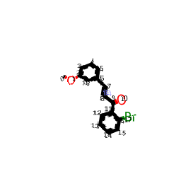 COc1cccc(/C=C/C(=O)c2ccccc2Br)c1